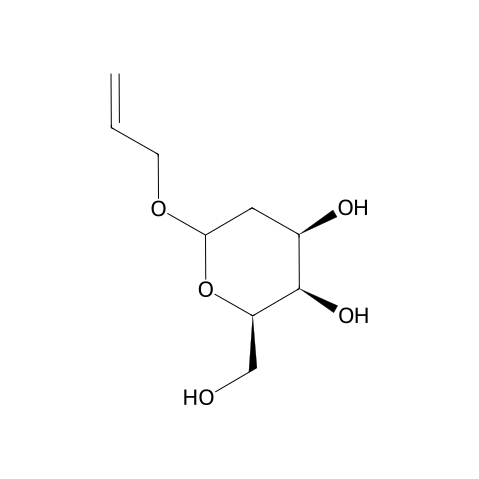 C=CCOC1C[C@@H](O)[C@@H](O)[C@@H](CO)O1